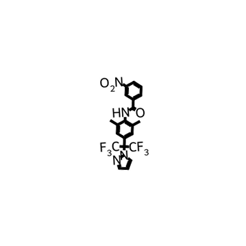 Cc1cc(C(n2cccn2)(C(F)(F)F)C(F)(F)F)cc(C)c1NC(=O)c1cccc([N+](=O)[O-])c1